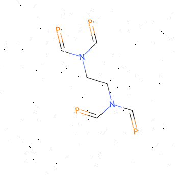 [P]=CN(C=[P])CCN(C=[P])C=[P]